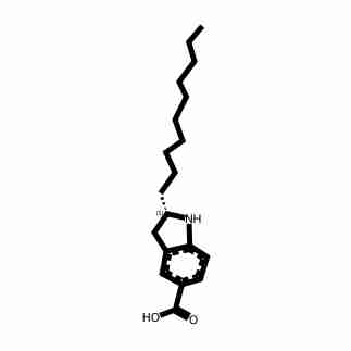 CCCCCCCCCC[C@H]1Cc2cc(C(=O)O)ccc2N1